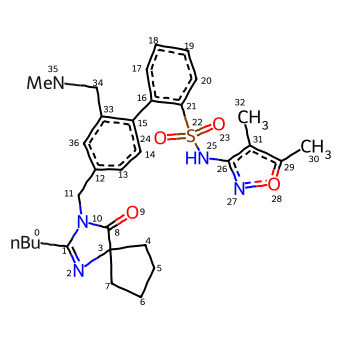 CCCCC1=NC2(CCCC2)C(=O)N1Cc1ccc(-c2ccccc2S(=O)(=O)Nc2noc(C)c2C)c(CNC)c1